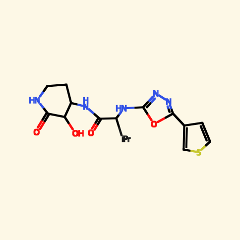 CC(C)C(Nc1nnc(-c2ccsc2)o1)C(=O)NC1CCNC(=O)C1O